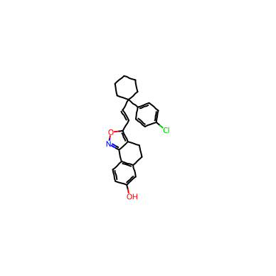 Oc1ccc2c(c1)CCc1c-2noc1C=CC1(c2ccc(Cl)cc2)CCCCC1